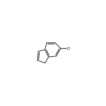 Clc1ccc2c(c1)C[C]=C2